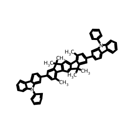 Cc1cc(-c2ccc3c4ccccc4n(-c4ccccc4)c3c2)cc2c1-c1cc3c(cc1C2(C)C)-c1c(C)cc(-c2ccc4c5ccccc5n(-c5ccccc5)c4c2)cc1C3(C)C